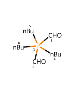 CCCCP(C=O)(C=O)(CCCC)CCCC